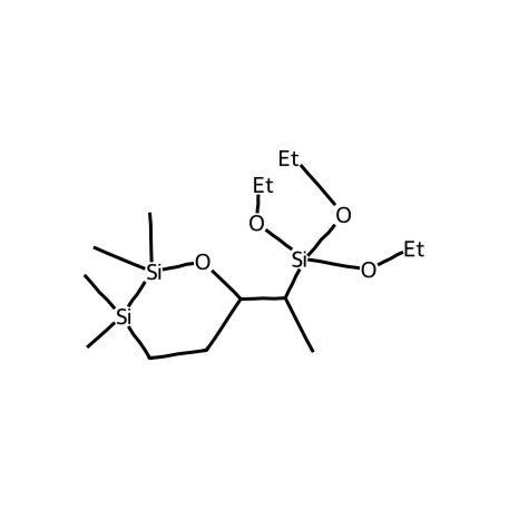 CCO[Si](OCC)(OCC)C(C)C1CC[Si](C)(C)[Si](C)(C)O1